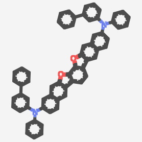 c1ccc(-c2cccc(N(c3ccccc3)c3ccc4cc5c(cc4c3)oc3c5ccc4c5cc6ccc(N(c7ccccc7)c7cccc(-c8ccccc8)c7)cc6cc5oc43)c2)cc1